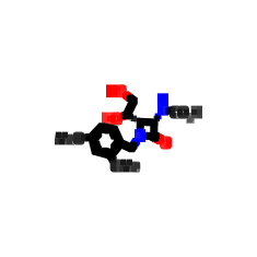 COc1ccc(CN2C(=O)[C@@H](NC(=O)O)[C@H]2C(O)CO)c(OC)c1